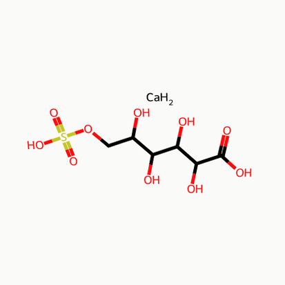 O=C(O)C(O)C(O)C(O)C(O)COS(=O)(=O)O.[CaH2]